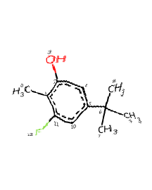 Cc1c(O)cc(C(C)(C)C)cc1F